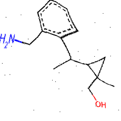 CC(c1ccccc1CN)C1CC1(C)CO